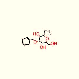 C[C@H]1OC(CO)[C@@H](O)[C@@H](OCc2ccccc2)C1O